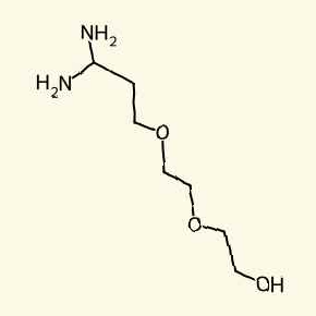 NC(N)CCOCCOCCO